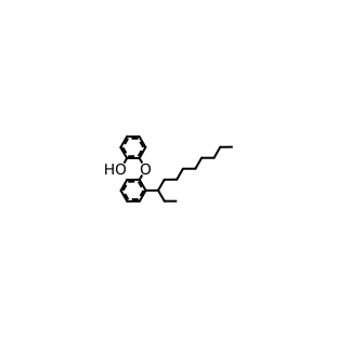 CCCCCCCCC(CC)c1ccccc1Oc1ccccc1O